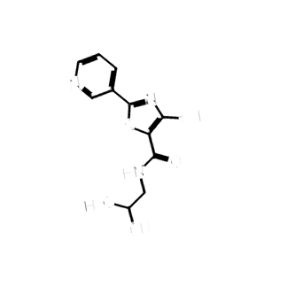 Cc1nc(-c2cccnc2)sc1C(=O)NCC(C)C